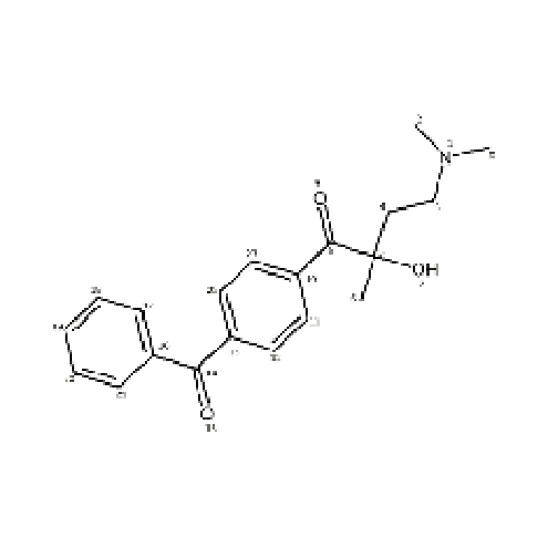 CN(C)CCC(C)(O)C(=O)c1ccc(C(=O)c2ccccc2)cc1